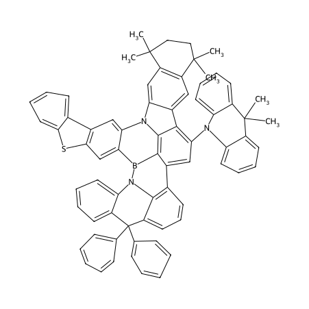 CC1(C)CCC(C)(C)c2cc3c(cc21)c1c(N2c4ccccc4C(C)(C)c4ccccc42)cc2c4c1n3-c1cc3c(cc1B4N1c4ccccc4C(c4ccccc4)(c4ccccc4)c4cccc-2c41)sc1ccccc13